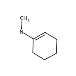 C[N]C1=CCCCC1